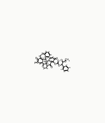 COC(=O)[C@H](OC(=O)Oc1c2n(ccc1=O)N([C@@H]1c3ccccc3SCc3c1ccc(F)c3F)[C@@H]1COCCN1C2=O)c1ccccc1